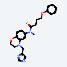 CN(C(=O)CCCOc1ccccc1)c1ccc2c(c1)N(Cc1c[nH]cn1)CCO2